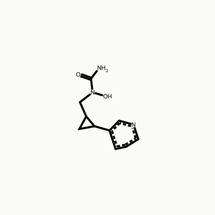 NC(=O)N(O)CC1CC1c1cccnc1